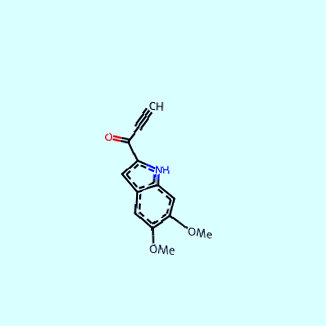 C#CC(=O)c1cc2cc(OC)c(OC)cc2[nH]1